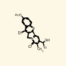 CCc1c2c(nc3ccc(OC(C)=O)cc13)-c1cc(C(O)CC)c(C)c(=O)n1C2